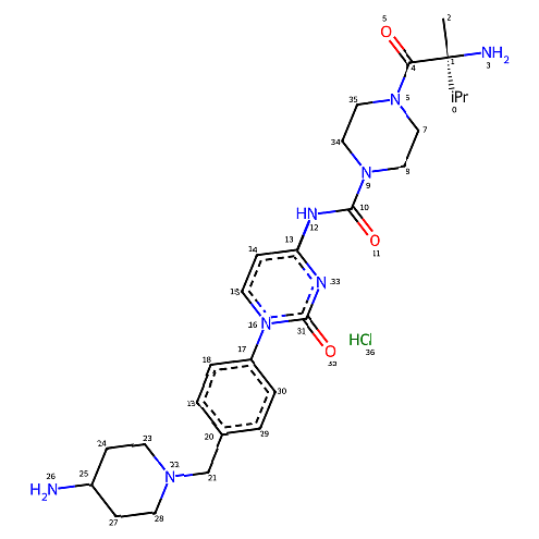 CC(C)[C@](C)(N)C(=O)N1CCN(C(=O)Nc2ccn(-c3ccc(CN4CCC(N)CC4)cc3)c(=O)n2)CC1.Cl